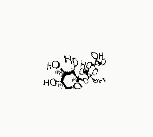 C[C@]1(OP(=O)(O)OP(=O)(O)O)OC[C@H](O)[C@@H](O)[C@@H]1O